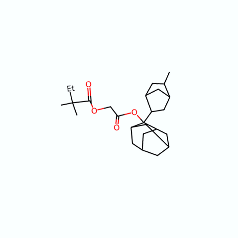 CCC(C)(C)C(=O)OCC(=O)OC1(C2CC3CC2CC3C)C2CC3CC(C2)CC1C3